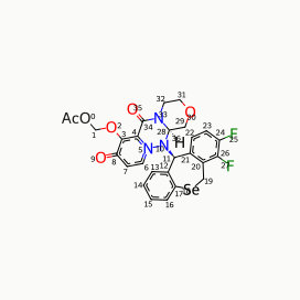 CC(=O)OCOc1c2n(ccc1=O)N([C@@H]1c3ccccc3[Se]Cc3c1ccc(F)c3F)[C@@H]1COCCN1C2=O